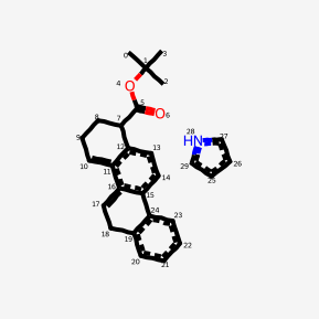 CC(C)(C)OC(=O)C1CCC=c2c1ccc1c2=CCc2ccccc2-1.c1cc[nH]c1